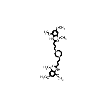 COc1cc(OC)c(NC(=O)CCCN2CCCN(CCCC(=O)Nc3c(OC)cc(OC)cc3OC)CC2)c(OC)c1